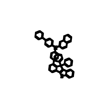 c1ccc(-c2ccc(N(c3ccc(-c4cccc5c4C(c4ccccc4)(c4ccccc4)c4c-5sc5ccccc45)cc3)c3ccc4ccccc4c3)cc2)cc1